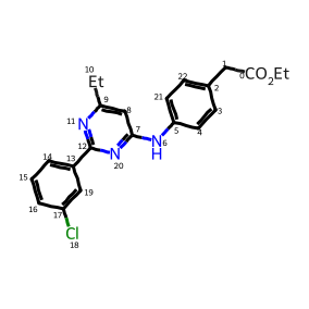 CCOC(=O)Cc1ccc(Nc2cc(CC)nc(-c3cccc(Cl)c3)n2)cc1